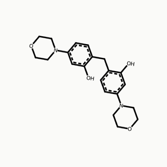 Oc1cc(N2CCOCC2)ccc1Cc1ccc(N2CCOCC2)cc1O